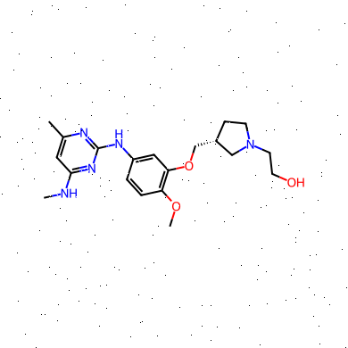 CNc1cc(C)nc(Nc2ccc(OC)c(OC[C@@H]3CCN(CCO)C3)c2)n1